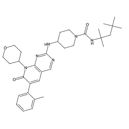 Cc1ccccc1-c1cc2cnc(NC3CCN(C(=O)NC(C)(C)CC(C)(C)C)CC3)nc2n(C2CCOCC2)c1=O